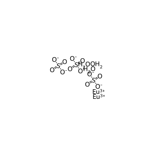 O.O.O.O=S(=O)([O-])[O-].O=S(=O)([O-])[O-].O=S(=O)([O-])[O-].[Eu+3].[Eu+3]